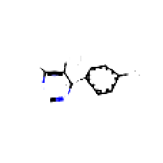 C=N[C@@H](/C(C(=O)OCC)=C(/C)N)c1ccc(C#N)cc1